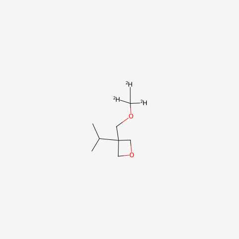 [2H]C([2H])([2H])OCC1(C(C)C)COC1